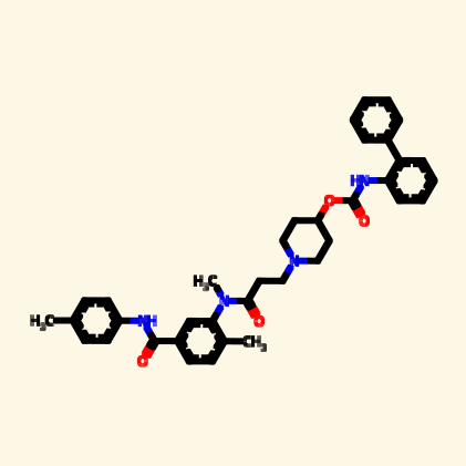 Cc1ccc(NC(=O)c2ccc(C)c(N(C)C(=O)CCN3CCC(OC(=O)Nc4ccccc4-c4ccccc4)CC3)c2)cc1